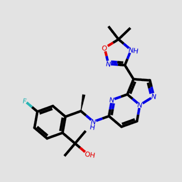 C[C@@H](Nc1ccn2ncc(C3=NOC(C)(C)N3)c2n1)c1cc(F)ccc1C(C)(C)O